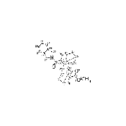 COC(=O)C12CC3CC(C1)CC(C14CC5CC(CC(C(=O)N6Cc7ccccc7C6)(C5)C1)C4)(C3)C2